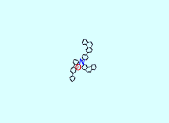 c1ccc(-c2ccc3c(c2)oc2c(N(c4ccc(-c5ccc6ccc7ccccc7c6c5)cc4)c4ccc5ccc6ccccc6c5c4)cccc23)cc1